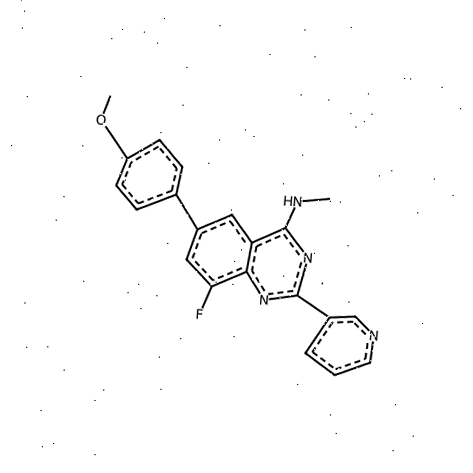 CNc1nc(-c2cccnc2)nc2c(F)cc(-c3ccc(OC)cc3)cc12